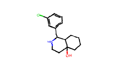 OC12CCCCC1C(c1cccc(Cl)c1)NCC2